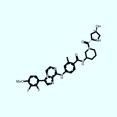 COc1ccc(-c2cnc3c(Nc4ccc(C(=O)NC5CCCN(C(=O)[C@@H]6C[C@@H](O)CN6)C5)c(C)c4)nccn23)c(F)c1F